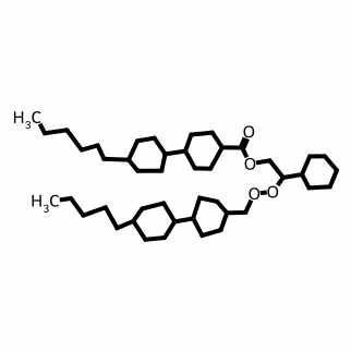 CCCCCCC1CCC(C2CCC(C(=O)OCC(OOCC3CCC(C4CCC(CCCCC)CC4)CC3)C3CCCCC3)CC2)CC1